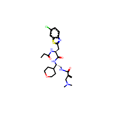 C=C(CN(C)C)C(=O)NC[C@@H](NC(=O)[C@H](Cc1nc2ccc(Cl)cc2s1)NC(=O)CC)C1CCOCC1